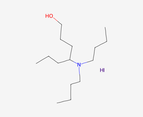 CCCCN(CCCC)C(CCC)CCCO.I